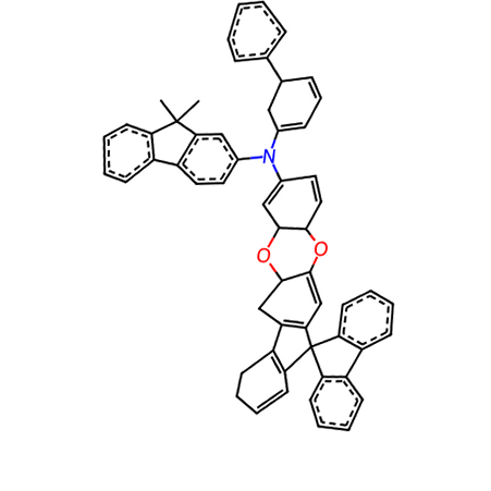 CC1(C)c2ccccc2-c2ccc(N(C3=CC4OC5CC6=C(C=C5OC4C=C3)C3(C4=C6CCC=C4)c4ccccc4-c4ccccc43)C3=CC=CC(c4ccccc4)C3)cc21